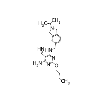 CCCCOc1nc(N)c(C=N)c(NCc2ccc3c(c2)CN(C(C)C)C3)n1